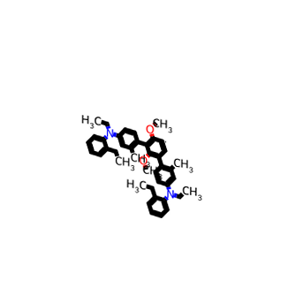 CCc1ccccc1N(CC)c1ccc(-c2c[c]c(OC)c(-c3ccc(N(CC)c4ccccc4CC)cc3C)c2OC)c(C)c1